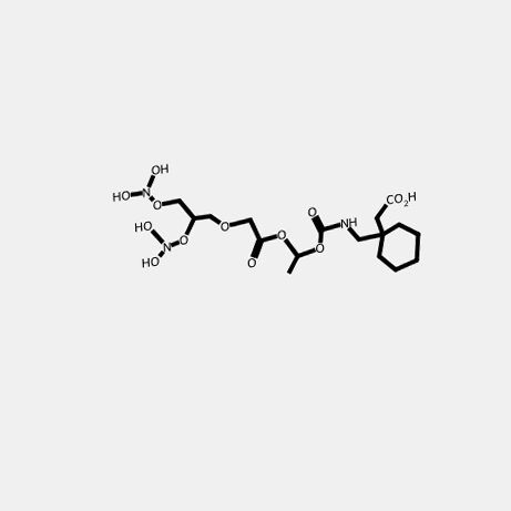 CC(OC(=O)COCC(CON(O)O)ON(O)O)OC(=O)NCC1(CC(=O)O)CCCCC1